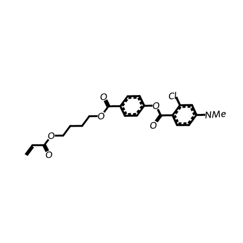 C=CC(=O)OCCCCOC(=O)c1ccc(OC(=O)c2ccc(NC)cc2Cl)cc1